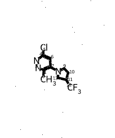 Cc1nnc(Cl)cc1N1CCC(C(F)(F)F)C1